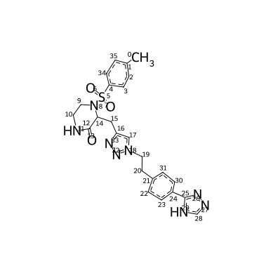 Cc1ccc(S(=O)(=O)N2CCNC(=O)C2Cc2cn(CCc3ccc(-c4nnc[nH]4)cc3)nn2)cc1